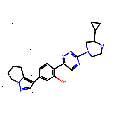 Oc1cc(-c2cnn3c2CCCC3)ccc1-c1cnc(N2CCNC(C3CC3)C2)nn1